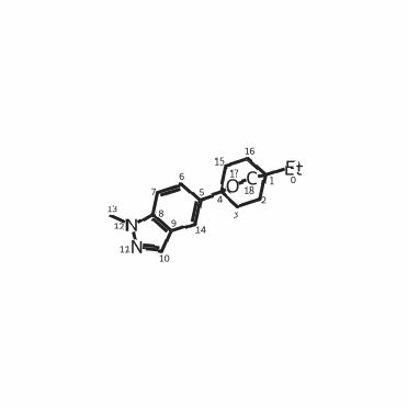 CCC12CCC(c3ccc4c(cnn4C)c3)(CC1)OC2